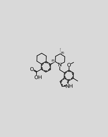 COc1cc(C)c2[nH]ccc2c1CN1CC[C@@H](C)C[C@@H]1c1ccc(C(=O)O)c2c1CCCC2